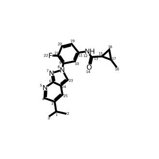 CC(C)c1cnc2nn(-c3cc(NC(=O)C4CC4C)ccc3F)cc2c1